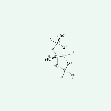 CC(=O)[C@@]1(C)O[C@]2(C)O[C@](C)(C(C)=O)C[C@@]2(O)O1